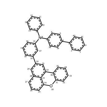 c1ccc(-c2ccc(N(c3ccccc3)c3cccc(-c4cc5c6c(cccc6c4)Oc4ccccc4-5)c3)cc2)cc1